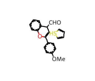 COc1ccc(C2=C([SH]3C=CC=C3)C(C=O)c3ccccc3O2)cc1